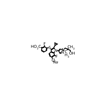 CC(C)(CO)Cn1cc(-n2c(C3CC3)c(Sc3cccc(C(=O)O)c3F)c3ccc(Cl)c(F)c32)cn1.[Na]